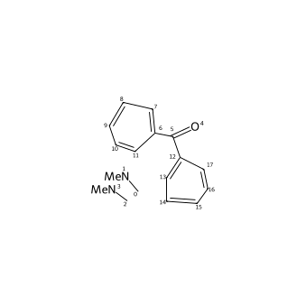 CNC.CNC.O=C(c1ccccc1)c1ccccc1